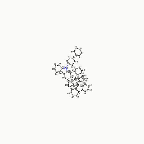 c1ccc(-c2ccc(-n3c4ccccc4c4ccc5c(c43)-c3ccccc3C53c4ccccc4C4(c5ccccc5-c5ccccc54)c4ccccc43)cc2)cc1